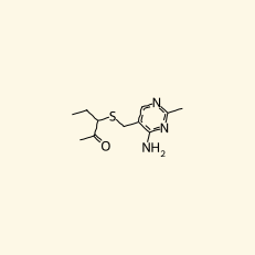 CCC(SCc1cnc(C)nc1N)C(C)=O